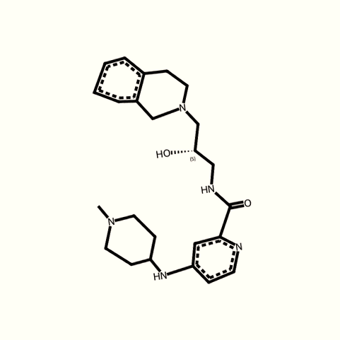 CN1CCC(Nc2ccnc(C(=O)NC[C@H](O)CN3CCc4ccccc4C3)c2)CC1